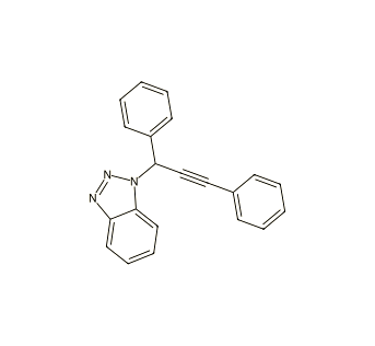 C(#CC(c1ccccc1)n1nnc2ccccc21)c1ccccc1